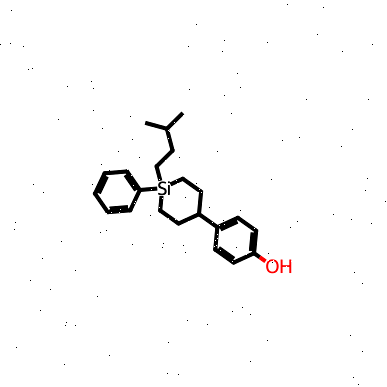 CC(C)CC[Si]1(c2ccccc2)CCC(c2ccc(O)cc2)CC1